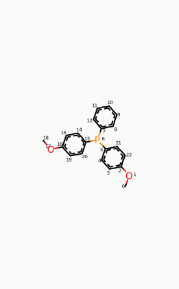 COc1ccc(P(c2ccccc2)c2ccc(OC)cc2)cc1